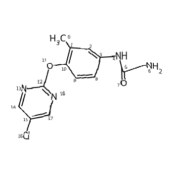 Cc1cc(NC(N)=O)ccc1Oc1ncc(Cl)cn1